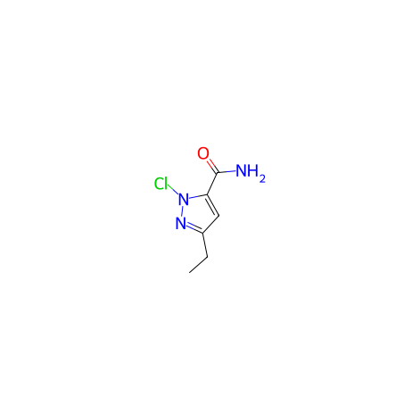 CCc1cc(C(N)=O)n(Cl)n1